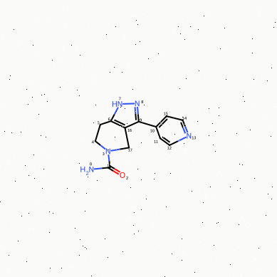 NC(=O)N1CCc2[nH]nc(-c3ccncc3)c2C1